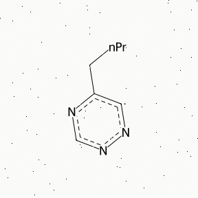 CCCCc1[c]nncn1